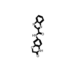 O=C1COc2cc(NC(=O)c3cnc4ccccc4n3)ccc2N1